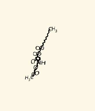 CCCCCCCCCCCCOC(=O)CCOC(=O)c1ccc(NCCOC=CC(=O)OCC)c(Cl)c1